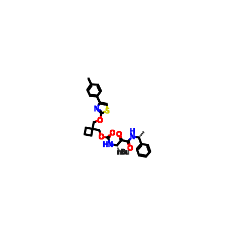 CCCC[C@H](NC(=O)OCC1(COc2nc(-c3ccc(C)cc3)cs2)CCC1)C(=O)C(=O)N[C@H](C)c1ccccc1